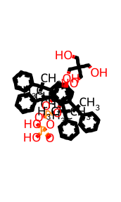 CC(C)(c1ccccc1)c1cccc(C(C)(C)c2ccccc2)c1OP(=O)(Oc1c(C(C)(C)c2ccccc2)cccc1C(C)(C)c1ccccc1)OP(=O)(O)O.OCC(CO)(CO)CO